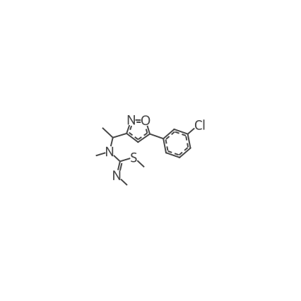 C/N=C(\SC)N(C)C(C)c1cc(-c2cccc(Cl)c2)on1